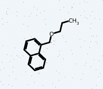 CCCO[CH]c1cccc2ccccc12